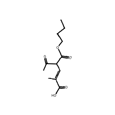 CCCCOC(=O)C(C=C(C)C(=O)O)C(C)=O